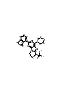 FC(F)(F)C1OCCn2c1nc1c(N3CCOCC3)nc(-c3cccc4c3C=NC4)nc12